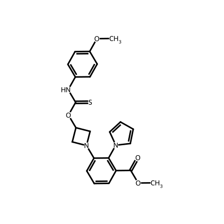 COC(=O)c1cccc(N2CC(OC(=S)Nc3ccc(OC)cc3)C2)c1-n1cccc1